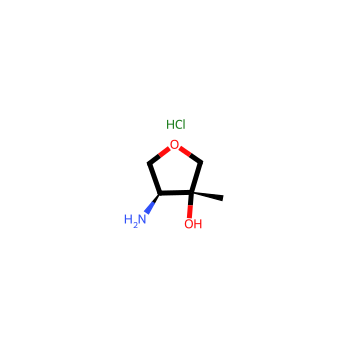 C[C@]1(O)COC[C@@H]1N.Cl